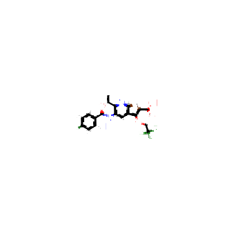 CCc1nc2sc(C(=O)O)c(OCC(F)(F)F)c2cc1NC(=O)c1ccc(F)cc1